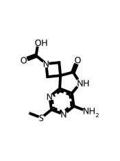 CSc1nc(N)c2c(n1)C1(CN(C(=O)O)C1)C(=O)N2